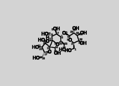 OC[C@H]1O[C@@H](O[C@H]2[C@H](O)[C@@H](O)C(O)(C3(CO)O[C@H](CO)[C@@H](O)[C@@H]3O)O[C@@H]2CO)[C@H](O)[C@@H](O)[C@H]1O